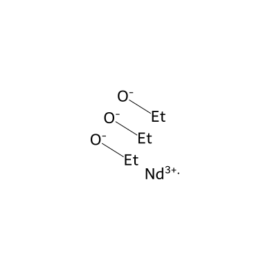 CC[O-].CC[O-].CC[O-].[Nd+3]